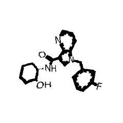 O=C(N[C@H]1CCCC[C@@H]1O)c1cn(Cc2cccc(F)c2)c2cccnc12